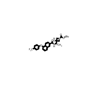 C[C@H](NC(=O)c1ccc2c(Oc3ccc(C(F)(F)F)cc3)cccc2c1)C1(O)CN(C(=O)OC(C)(C)C)C1